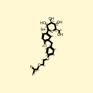 [2H][C@@]1(c2ccc(Cl)c(Cc3ccc(OCCOCC(F)F)cc3)c2)O[C@H](CO)[C@@H](O)[C@H](O)[C@H]1O